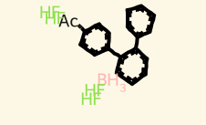 B.CC(=O)c1ccc(-c2ccccc2-c2ccccc2)cc1.F.F.F.F